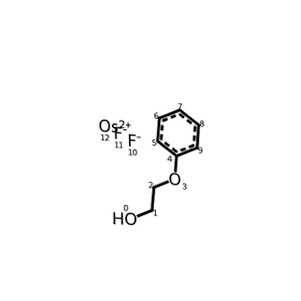 OCCOc1ccccc1.[F-].[F-].[Os+2]